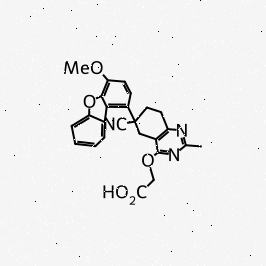 COc1ccc(C2(C#N)CCc3nc(C)nc(OCC(=O)O)c3C2)c2c1oc1ccccc12